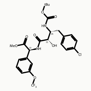 COC(=O)[C@@H](NC(=O)[C@@H](O)[C@@H](Cc1ccc(Cl)cc1)NC(=O)OC(C)(C)C)c1cccc(OC(F)(F)F)c1